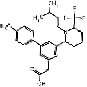 Cc1ccc(-c2cc(CC(=O)O)cc(C3CCCC(C(F)(F)F)N3CCC(C)C)c2)cc1